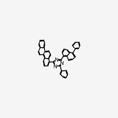 c1ccc(-c2nc(-c3cccc4c(-c5ccccc5)cccc34)nc(-c3cccc4c3ccc3c5ccccc5ccc43)n2)cc1